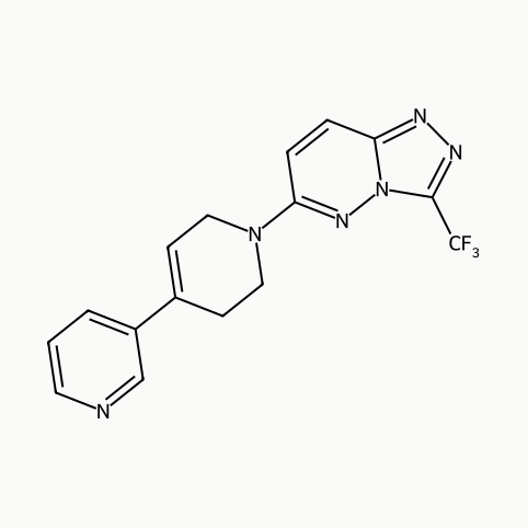 FC(F)(F)c1nnc2ccc(N3CC=C(c4cccnc4)CC3)nn12